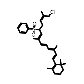 CC(C=CC1=C(C)CCCC1(C)C)=CC=CC(C)=CC(CC=C(C)CCl)S(=O)(=O)c1ccccc1